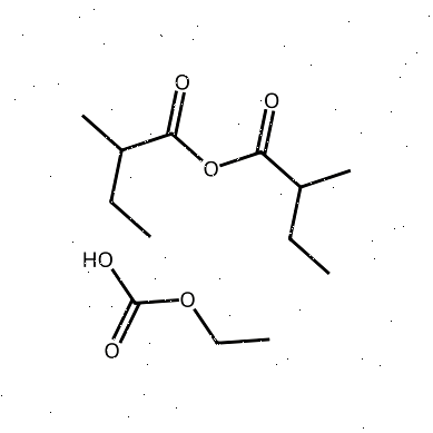 CCC(C)C(=O)OC(=O)C(C)CC.CCOC(=O)O